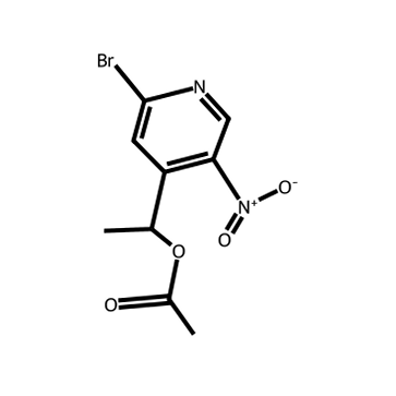 CC(=O)OC(C)c1cc(Br)ncc1[N+](=O)[O-]